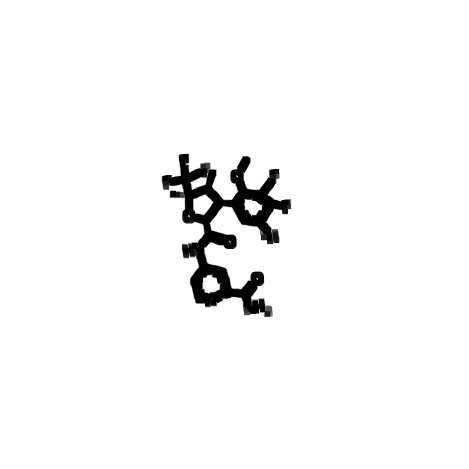 [2H]c1cc([C@H]2[C@@H](C(=O)Nc3ccnc(C(N)=O)c3)O[C@@](C)(C(F)(F)F)[C@H]2C)c(OC)c(F)c1F